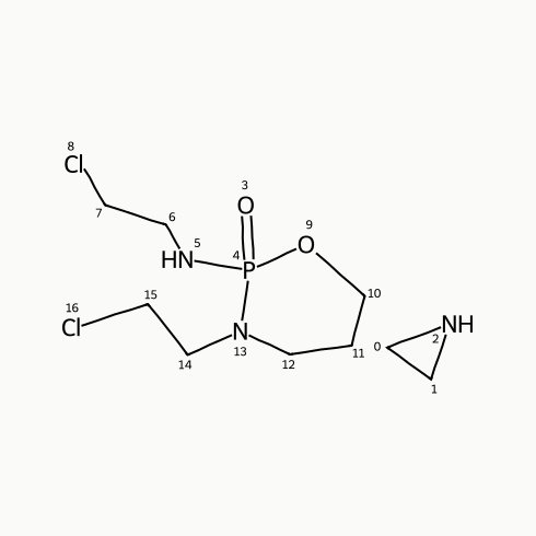 C1CN1.O=P1(NCCCl)OCCCN1CCCl